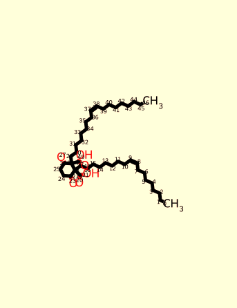 CCCCCCCC/C=C\CCCCCCCCC1(C(=O)O)C(=O)CCC(=O)C1(CCCCCCCC/C=C\CCCCCCCC)C(=O)O